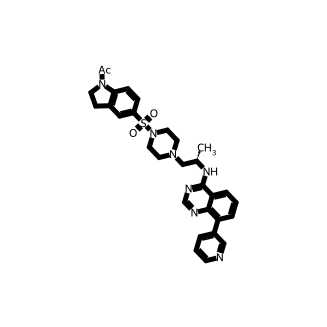 CC(=O)N1CCc2cc(S(=O)(=O)N3CCN(C[C@H](C)Nc4ncnc5c(-c6cccnc6)cccc45)CC3)ccc21